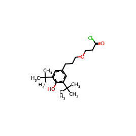 CC(C)(C)c1cc(CCCOCCC(=O)Cl)cc(C(C)(C)C)c1O